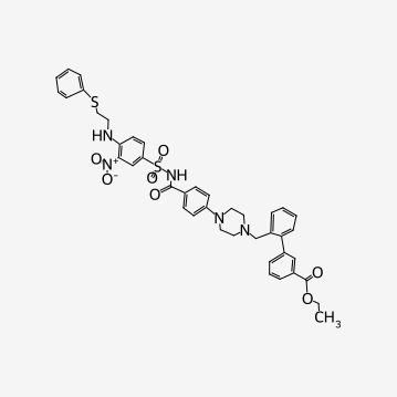 CCOC(=O)c1cccc(-c2ccccc2CN2CCN(c3ccc(C(=O)NS(=O)(=O)c4ccc(NCCSc5ccccc5)c([N+](=O)[O-])c4)cc3)CC2)c1